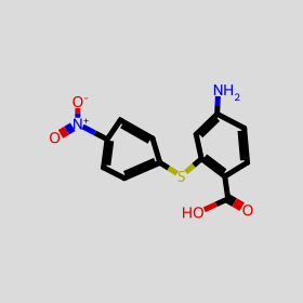 Nc1ccc(C(=O)O)c(Sc2ccc([N+](=O)[O-])cc2)c1